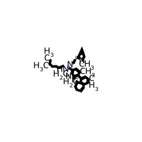 C=Nc1c(/C(=N\CC[C@@H]2C3CC3CN2C)NCCCCC(C)CC)cc(C)c(-c2cc(C)cc3c2C(=C)CCC=C3)c1F